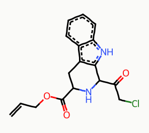 C=CCOC(=O)C1Cc2c([nH]c3ccccc23)C(C(=O)CCl)N1